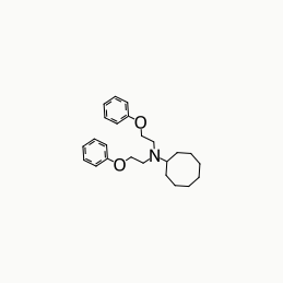 c1ccc(OCCN(CCOc2ccccc2)C2CCCCCCC2)cc1